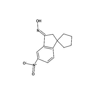 O=[N+]([O-])c1ccc2c(c1)C(=NO)CC21CCCC1